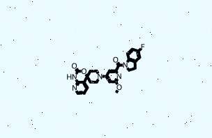 COc1cc(N2CCC3(CC2)OC(=O)Nc2ncccc23)cc(C(=O)N2CCc3cc(F)ccc32)n1